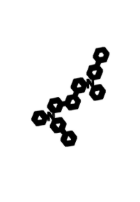 C1=CCCC(N(c2cccc(C3C=C(c4cccc(N(c5ccccc5)c5ccc(-c6ccccc6)cc5)c4)C=CC3)c2)C2C=CC(C3=CCCCC3)=CC2)=C1